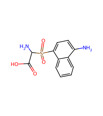 Nc1ccc(S(=O)(=O)C(N)C(=O)O)c2ccccc12